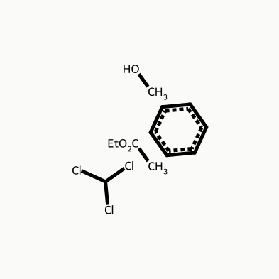 CCOC(C)=O.CO.ClC(Cl)Cl.c1ccccc1